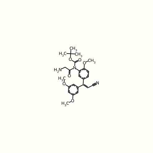 COc1cc(OC)cc(C(=CC#N)c2ccc(OC)c(N(C(=O)CN)C(=O)OC(C)(C)C)c2)c1